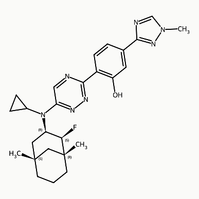 Cn1cnc(-c2ccc(-c3ncc(N(C4CC4)[C@@H]4C[C@@]5(C)CCC[C@](C)(C5)[C@@H]4F)nn3)c(O)c2)n1